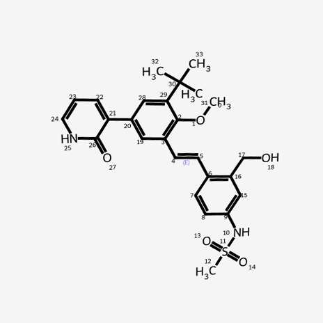 COc1c(/C=C/c2ccc(NS(C)(=O)=O)cc2CO)cc(-c2ccc[nH]c2=O)cc1C(C)(C)C